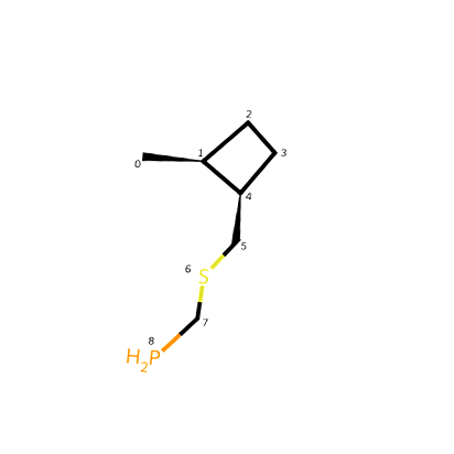 C[C@H]1CC[C@H]1CSCP